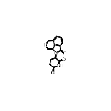 O=C1CCC(N2C(=O)c3cccc4cncc2c34)C(=O)N1